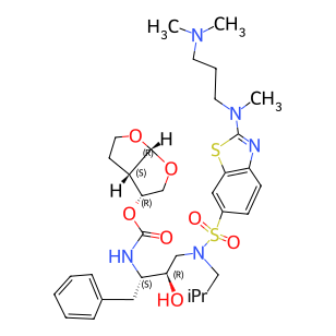 CC(C)CN(C[C@@H](O)[C@H](Cc1ccccc1)NC(=O)O[C@H]1CO[C@H]2OCC[C@H]21)S(=O)(=O)c1ccc2nc(N(C)CCCN(C)C)sc2c1